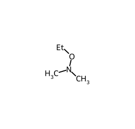 [CH2]CON(C)C